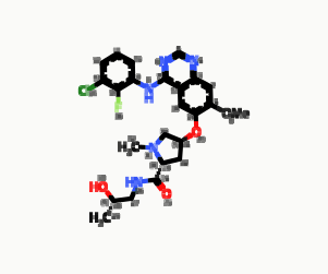 COc1cc2ncnc(Nc3cccc(Cl)c3F)c2cc1O[C@H]1C[C@H](C(=O)NC[C@H](C)O)N(C)C1